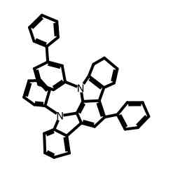 C1=Cc2c(n(-c3cccc(-c4ccccc4)c3)c3c2c(-c2ccccc2)cc2c4ccccc4n(-c4ccccc4)c23)CC1